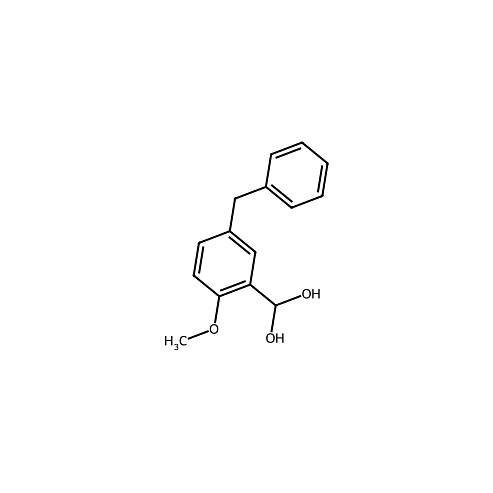 COc1ccc(Cc2ccccc2)cc1C(O)O